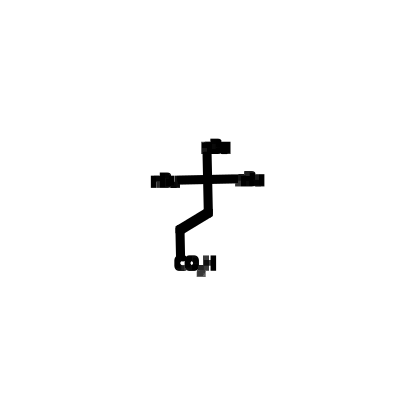 CCCCC(CCCC)(CCCC)CCC(=O)O